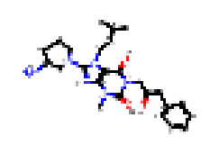 CC(C)=CCn1c(N2CCCC(N)C2)nc2c1c(=O)n(CC(=O)Cc1ccccc1)c(=O)n2C